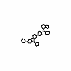 C1=CCC(c2ccc3c(c2)c2ccc(-c4ccc(N(c5ccccc5)c5cccc6ccccc56)cc4)cc2n3-c2ccccc2)C=C1